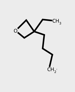 [CH2]CCCC1(CC)COC1